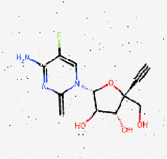 C#C[C@]1(CO)O[C@@H](N2C=C(F)C(N)=NC2=C)C(O)[C@H]1O